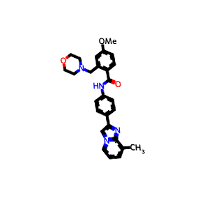 COc1ccc(C(=O)Nc2ccc(-c3cn4cccc(C)c4n3)cc2)c(CN2CCOCC2)c1